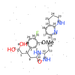 COc1cc(C(CC(O)O)CC2NC(CCCc3ccc4c(n3)NCCC4)NO2)ccc1F